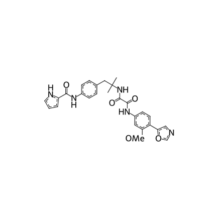 COc1cc(NC(=O)C(=O)NC(C)(C)Cc2ccc(NC(=O)c3ccc[nH]3)cc2)ccc1-c1cnco1